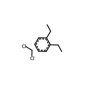 CCc1ccccc1CC.ClCCl